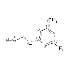 CCCCCCCOc1cc(C)cc(F)c1